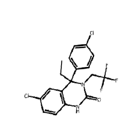 CCC1(c2ccc(Cl)cc2)c2cc(Cl)ccc2NC(=O)N1CC(F)(F)F